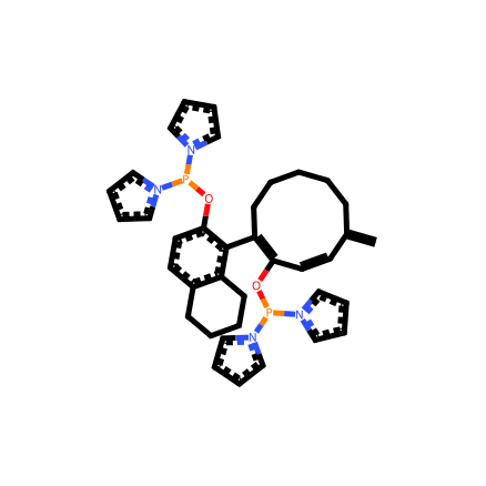 C=C1/C=C\C(OP(n2cccc2)n2cccc2)=C(\c2c(OP(n3cccc3)n3cccc3)ccc3c2CCCC3)CCCCC1